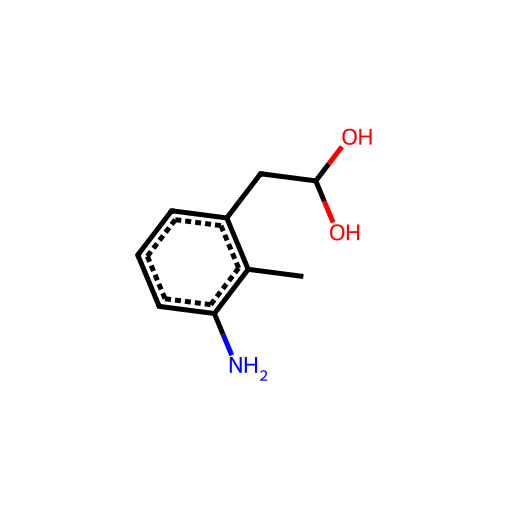 Cc1c(N)cccc1CC(O)O